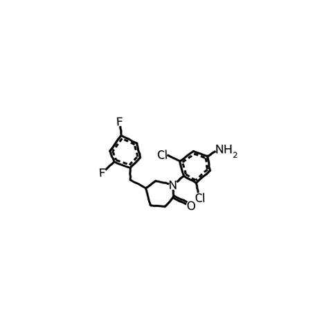 Nc1cc(Cl)c(N2CC(Cc3ccc(F)cc3F)CCC2=O)c(Cl)c1